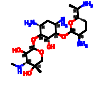 CN[C@@H]1[C@@H](O)[C@@H](O[C@@H]2[C@@H](O)[C@H](O[C@H]3O[C@H]([C@@H](C)N)CC[C@H]3N)[C@@H](N)C[C@H]2N)OC[C@]1(C)O